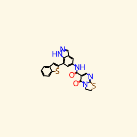 O=C(Nc1cc(-c2cc3ccccc3s2)c2[nH]ncc2c1)c1cnc2n(c1=O)CCS2